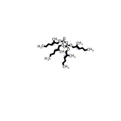 CCC/C=C(\C)COP(=O)(OC/C(C)=C/CCC)OP(=O)(OC/C(C)=C/CCC)OC/C(C)=C/CCC